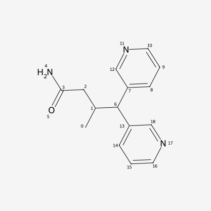 CC(CC(N)=O)C(c1cccnc1)c1cccnc1